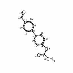 CC(=O)Oc1ccc(-c2ccc(C=O)cc2)cc1